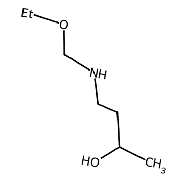 CCOCNCCC(C)O